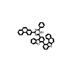 c1ccc(C2N=C(c3ccc4c(ccc5ccccc54)c3)N=C(c3ccc(-c4cccc5sc6ccc7ccccc7c6c45)c4oc5ccccc5c34)N2)cc1